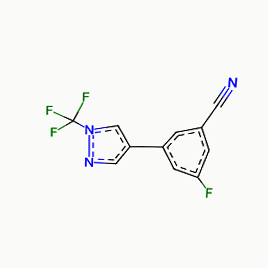 N#Cc1cc(F)cc(-c2cnn(C(F)(F)F)c2)c1